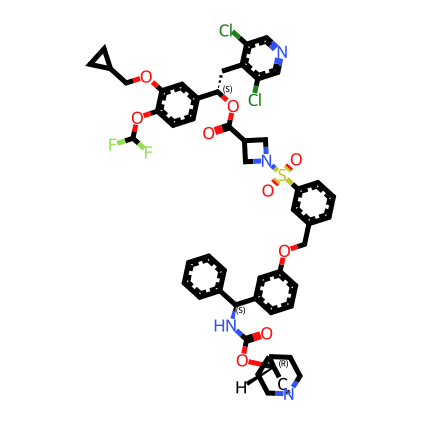 O=C(N[C@@H](c1ccccc1)c1cccc(OCc2cccc(S(=O)(=O)N3CC(C(=O)O[C@@H](Cc4c(Cl)cncc4Cl)c4ccc(OC(F)F)c(OCC5CC5)c4)C3)c2)c1)O[C@H]1CN2CCC1CC2